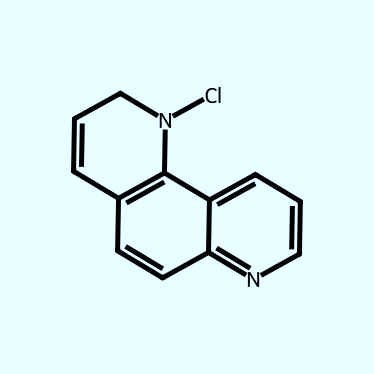 ClN1CC=Cc2ccc3ncccc3c21